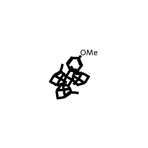 COc1ccc(C2(C3(C4CC5CC(=C4C)C5(C)C)CC4CC(=C3C)C4(C)C)CC3CC(=C2C)C3(C)C)cc1